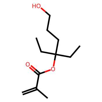 C=C(C)C(=O)OC(CC)(CC)CCCO